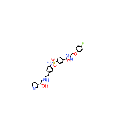 O=S(=O)(Nc1ccc(CCNCC(O)c2cccnc2)cc1)c1ccc(-c2nc(COc3ccc(F)cc3)no2)cc1